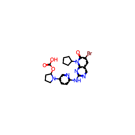 O=C(O)OC1CCCN1c1ccc(Nc2ncc3cc(Br)c(=O)n(C4CCCC4)c3n2)nc1